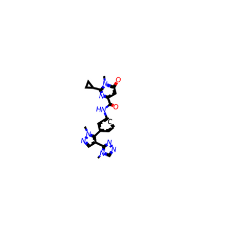 Cn1cnnc1-c1cnn(C)c1-c1cccc(NC(=O)c2cc(=O)n(C)c(C3CC3)n2)c1